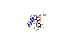 CC(=O)OCC1OC(Sc2cnc(C(F)(F)F)c(Br)c2)C(OC(C)=O)C(n2cc(-c3nc(Br)cs3)nn2)C1OC(C)=O